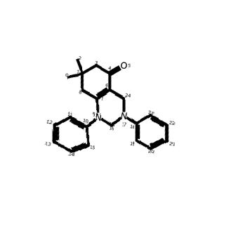 CC1(C)CC(=O)C2=C(C1)N(c1ccccc1)[CH]N(c1ccccc1)C2